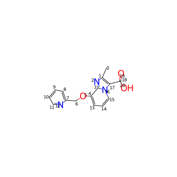 Cc1nc2c(OCc3ccccn3)cccn2c1C(=O)O